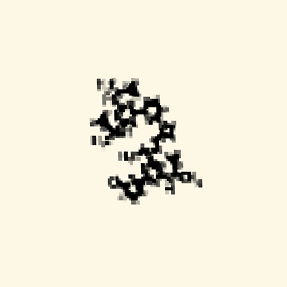 CCN(CCC1CCN1c1cccc(-c2nc(N[C@H](C)C3CC3)nc(N[C@H](C)C3CC3)n2)n1)c1nc(N[C@H](C)C2CC2)nc(-c2cccc(Cl)n2)n1